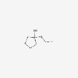 CCO[P]1(O)CCCC1